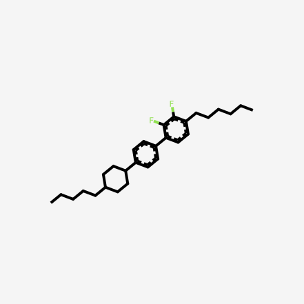 CCCCCCc1ccc(-c2ccc(C3CCC(CCCCC)CC3)cc2)c(F)c1F